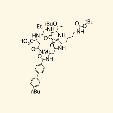 CCCCc1ccc(-c2ccc(C(=O)NCCC(=O)N[C@@H](CCCCNC(=O)OC(C)(C)C)C(=O)N[C@H](C(=O)N[C@@H](CC)C(=O)N[C@@H](CC(=O)NC)C(=O)O)[C@@H](C)OCC(C)C)cc2)cc1